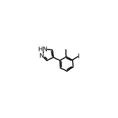 Cc1c(I)cccc1-c1cn[nH]c1